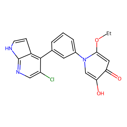 CCOc1cc(=O)c(O)cn1-c1cccc(-c2c(Cl)cnc3[nH]ccc23)c1